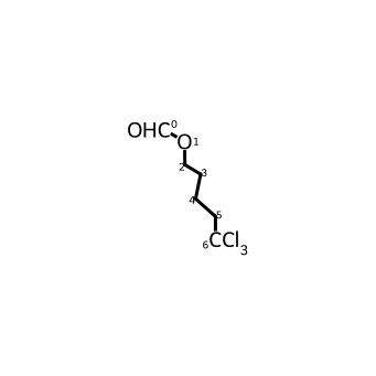 O=COCCCCC(Cl)(Cl)Cl